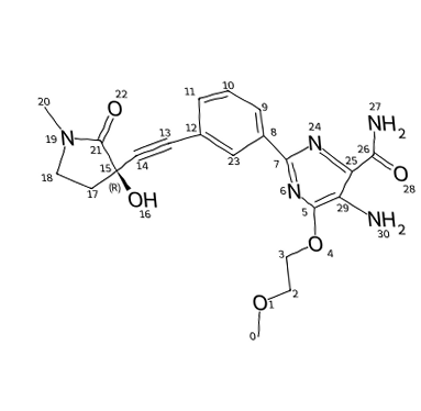 COCCOc1nc(-c2cccc(C#C[C@]3(O)CCN(C)C3=O)c2)nc(C(N)=O)c1N